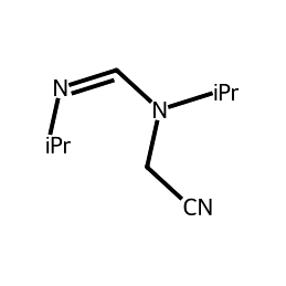 CC(C)/N=C\N(CC#N)C(C)C